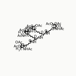 CC(=O)NC1[C@H](OCCCCC(=O)NCCN(CCNCCN(CCNC(=O)CCCCO[C@@H]2OC(COC(C)=O)[C@H](OC(C)=O)[C@H](C)C2NC(C)=O)C(=O)CCCCO[C@@H]2OC(COC(C)=O)[C@H](OC(C)=O)[C@H](C)C2NC(C)=O)C(=O)CCCCO[C@@H]2OC(COC(C)=O)[C@H](OC(C)=O)[C@H](C)C2NC(C)=O)OC(COC(C)=O)[C@H](OC(C)=O)[C@@H]1C